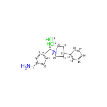 Cl.Cl.NCc1ccc(CN2CCC(c3ccccc3)CC2)cc1